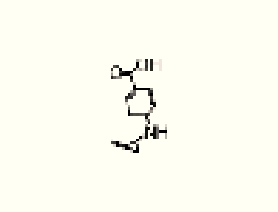 C=C1CC1Nc1ccc(C(=O)O)cc1